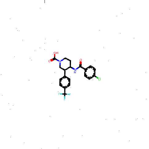 O=C(NC1CCN(C(=O)O)CC1c1ccc(C(F)(F)F)cc1)c1ccc(Cl)cc1